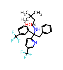 CC(C)(C)C[C@H](O)NC(Cc1ccccc1)(c1cccc(C(F)(F)F)c1)c1ccc(C(F)(F)F)cn1